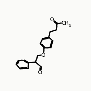 CC(=O)CCc1ccc(OCC(C=O)c2ccccc2)cc1